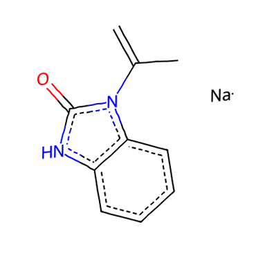 C=C(C)n1c(=O)[nH]c2ccccc21.[Na]